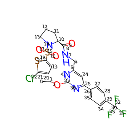 CCOc1nc(CNC(=O)[C@@H]2CCCN2S(=O)(=O)c2ccc(Cl)s2)cc(-c2ccc(C(F)(F)F)cc2)n1